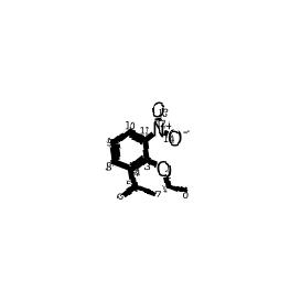 CCOc1c([C](C)C)cccc1[N+](=O)[O-]